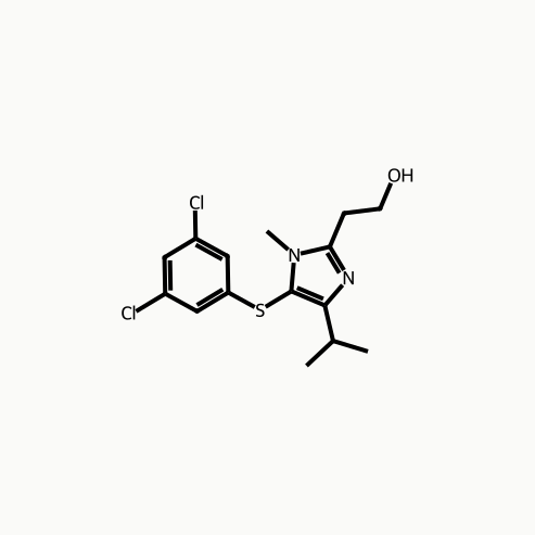 CC(C)c1nc(CCO)n(C)c1Sc1cc(Cl)cc(Cl)c1